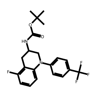 CC(C)(C)OC(=O)NC1Cc2c(F)cccc2N(c2ccc(C(F)(F)F)cc2)C1